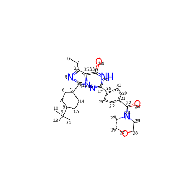 CCc1nc(C2CCC(C(C)(C)C)CC2)n2nc(-c3ccc(C(=O)N4CCOCC4)cc3)[nH]c(=O)c12